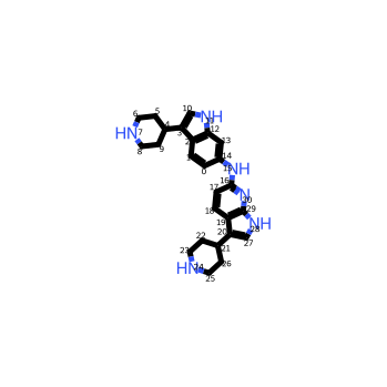 c1cc2c(C3CCNCC3)c[nH]c2cc1Nc1ccc2c(C3CCNCC3)c[nH]c2n1